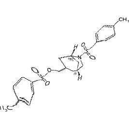 Cc1ccc(S(=O)(=O)OCC2C[C@H]3C[C@@H]2CN3S(=O)(=O)c2ccc(C)cc2)cc1